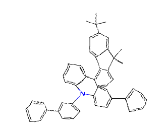 CC(C)(C)c1ccc2c(c1)C(C)(C)c1cccc(-c3ccccc3N(c3ccc(-c4ccccc4)cc3)c3cccc(-c4ccccc4)c3)c1-2